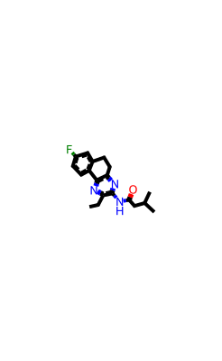 CCc1nc2c(nc1NC(=O)CC(C)C)CCc1cc(F)ccc1-2